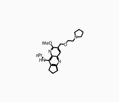 CCCNc1c2c(nc3cc(COCCN4CCCC4)c(OC)nc13)CCC2